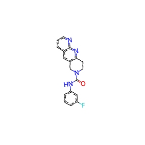 O=C(Nc1cccc(F)c1)N1CCc2nc3ncccc3cc2C1